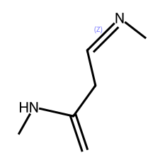 C=C(C/C=N\C)NC